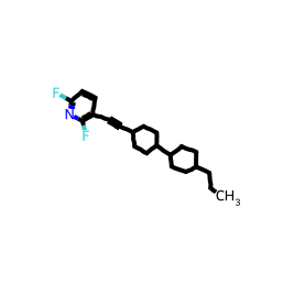 CCCC1CCC(C2CCC(C#Cc3ccc(F)nc3F)CC2)CC1